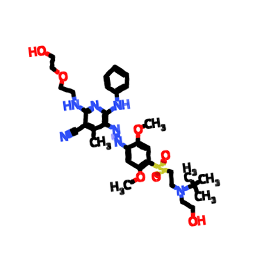 COc1cc(S(=O)(=O)CCN(CCO)C(C)(C)C)c(OC)cc1/N=N/c1c(Nc2ccccc2)nc(NCCOCCO)c(C#N)c1C